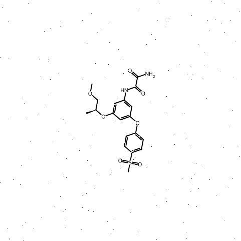 COC[C@H](C)Oc1cc(NC(=O)C(N)=O)cc(Oc2ccc(S(C)(=O)=O)cc2)c1